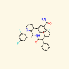 NC(=O)c1cc(-c2cccnc2C(Cc2cc(F)cc(F)c2)NC(=O)C(c2ccccc2)C2CCCC2)ccc1F